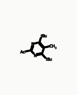 CC(=O)c1nc(C(C)(C)C)c(C)c(C(C)(C)C)n1